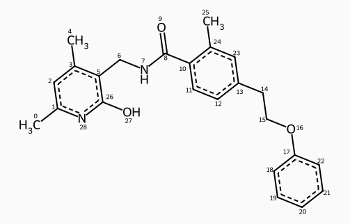 Cc1cc(C)c(CNC(=O)c2ccc(CCOc3ccccc3)cc2C)c(O)n1